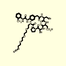 Cc1ccccc1NC(=O)Nc1ccc(CC(=O)NC(CC(C)C)C(=O)NC(CC(=O)O)C(=O)NC(C(=O)N2CCC[C@H]2C(=O)NCCOCCOCCOCCN=[N+]=[N-])C(C)C)cc1